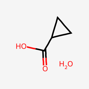 O.O=C(O)C1CC1